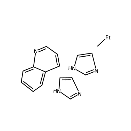 CCC.c1c[nH]cn1.c1c[nH]cn1.c1ccc2ncccc2c1